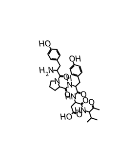 CC(=O)C(NC(=O)C(CC(=O)O)NC(=O)C(Cc1ccc(O)cc1)NC(=O)C1CCCN1C(=O)C(N)Cc1ccc(O)cc1)C(C)C